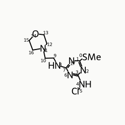 CSc1nc(NCl)nc(NCCN2CCOCC2)n1